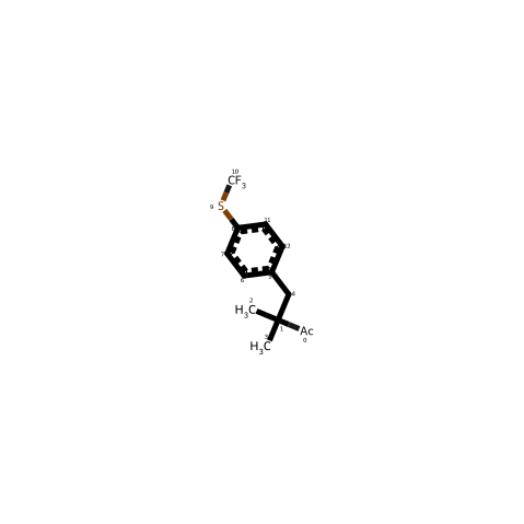 CC(=O)C(C)(C)Cc1ccc(SC(F)(F)F)cc1